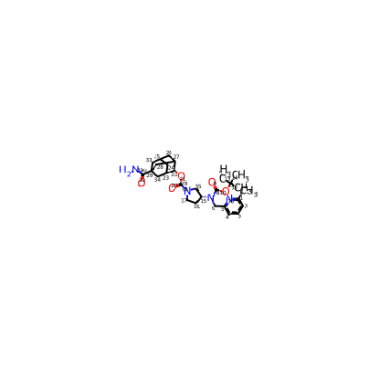 Cc1cccc(CN(C(=O)OC(C)(C)C)[C@@H]2CCN(C(=O)OC3C4CC5CC3CC(C(N)=O)(C5)C4)C2)n1